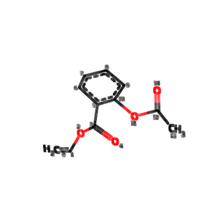 C=COC(=O)c1ccccc1OC(C)=O